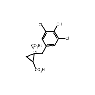 CCOC(=O)[C@@]1(Cc2cc(Cl)c(O)c(Cl)c2)CC1C(=O)O